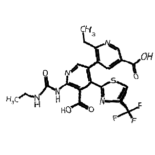 CCNC(=O)Nc1ncc(-c2cc(C(=O)O)cnc2CC)c(-c2nc(C(F)(F)F)cs2)c1C(=O)O